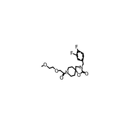 COCCOCC(=O)N1CCC2(CC1)CN(Cc1ccc(F)c(F)c1)C(=O)O2